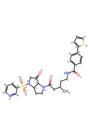 CC(CCNC(=O)c1ccc(-c2cccs2)cc1)CC(=O)N1CCC2C1C(=O)CN2S(=O)(=O)c1cccnc1